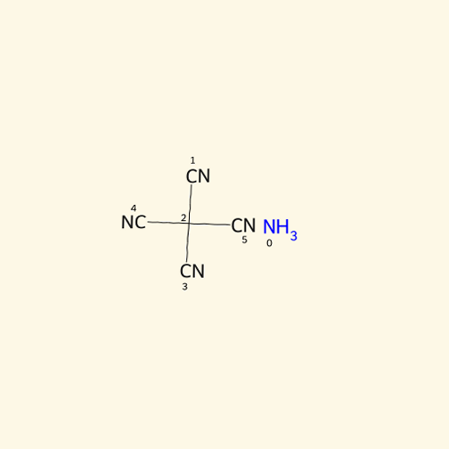 N.N#CC(C#N)(C#N)C#N